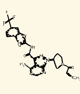 C=CC(=O)N1CCC(n2nc(C(=O)Nc3nc4cc(C(F)(F)F)ccc4o3)c3c(N)ncnc32)C1